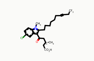 C[C@H](CC(=O)O)CC(=O)c1c(CCCCCCC#CCC(F)(F)F)n(C)c2ccc(Cl)cc12